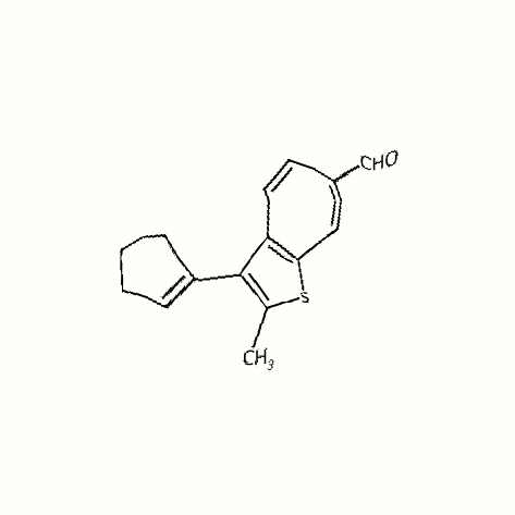 Cc1sc2cc(C=O)ccc2c1C1=CCCC1